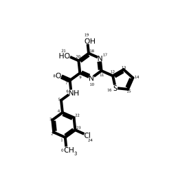 Cc1ccc(CNC(=O)c2nc(-c3cccs3)nc(O)c2O)cc1Cl